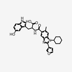 Cc1cc2c(cc1C(=O)NC(Cc1c[nH]c3ccc(O)cc13)C(=O)O)nc(-c1ccoc1)n2C1CCCCC1